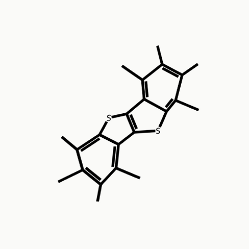 Cc1c(C)c(C)c2c(sc3c2sc2c(C)c(C)c(C)c(C)c23)c1C